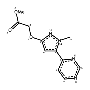 COC(=O)COc1cc(-c2ccncn2)n(C)n1